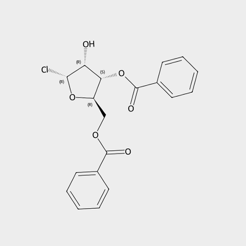 O=C(OC[C@H]1O[C@H](Cl)[C@H](O)[C@@H]1OC(=O)c1ccccc1)c1ccccc1